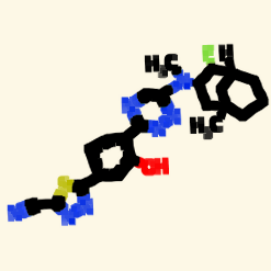 CN(c1cnc(-c2ccc(-c3nnc(C#N)s3)cc2O)nn1)[C@@H]1C[C@@]2(C)CCC[C@H](C2)[C@@H]1F